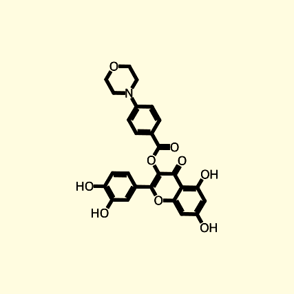 O=C(Oc1c(-c2ccc(O)c(O)c2)oc2cc(O)cc(O)c2c1=O)c1ccc(N2CCOCC2)cc1